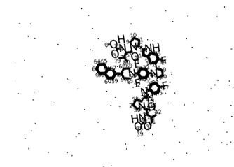 COC(=O)N[C@H](C(=O)N1CCC[C@H]1c1cc2cc([C@H]3CC[C@H](c4cc5nc([C@@H]6CCCN6C(=O)[C@@H](NC(=O)OC)C(C)C)[nH]c5cc4F)N3c3cc(F)c(N4CCC(c5ccc6ccccc6c5)CC4)c(F)c3)c(F)cc2[nH]1)C(C)C